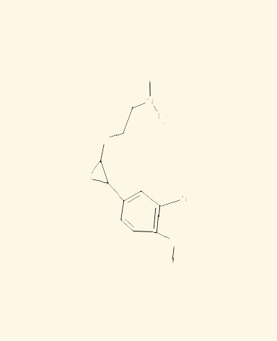 CCCOc1ccc(C2OC2OCCN(CC)CC)cc1N